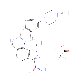 CN1CCN(c2ccc(Oc3ncc4c(n3)-c3c(c(C(N)=O)nn3C)CC4)c(C#N)c2)CC1.O=C(O)C(F)(F)F